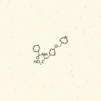 O=C(O)C(=Cc1ccc(OCc2ccncc2)cc1)NC(=O)c1ccccc1